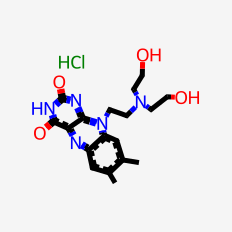 Cc1cc2nc3c(=O)[nH]c(=O)nc-3n(CCN(CCO)CCO)c2cc1C.Cl